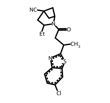 CCC1CC2(C#N)CC(C2)N1C(=O)CC(C)c1nc2ccc(Cl)cc2s1